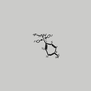 O=S(=O)(NF)c1ccc(F)cc1